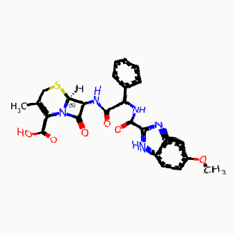 COc1ccc2[nH]c(C(=O)NC(C(=O)NC3C(=O)N4C(C(=O)O)=C(C)CS[C@@H]34)c3ccccc3)nc2c1